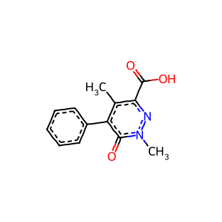 Cc1c(C(=O)O)nn(C)c(=O)c1-c1ccccc1